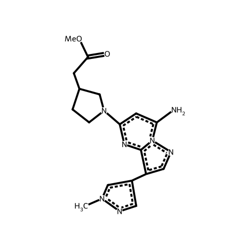 COC(=O)CC1CCN(c2cc(N)n3ncc(-c4cnn(C)c4)c3n2)C1